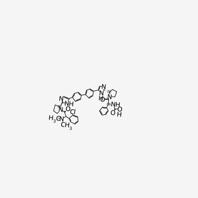 CN(C)C(C(=O)N1CCC[C@H]1c1ncc(-c2ccc(-c3ccc(-c4cnc([C@@H]5CCCN5C(=O)[C@H](NC(=O)O)c5ccccc5)[nH]4)cc3)cc2)[nH]1)c1ccccc1Cl